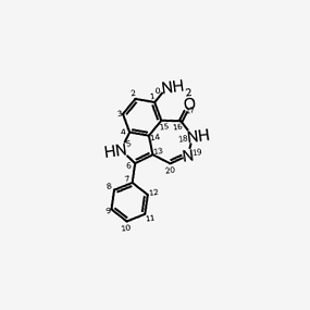 Nc1ccc2[nH]c(-c3ccccc3)c3c2c1C(=O)NN=C3